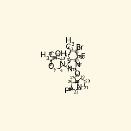 Cc1cc2c(N3CCOC[C@@](C)(O)C3)nc(OC[C@@]34CCCN3C[C@H](F)C4)nc2c(F)c1Br